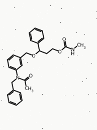 CNC(=O)OCCC(OCc1cccc(N(Cc2ccccc2)C(C)=O)c1)c1ccccc1